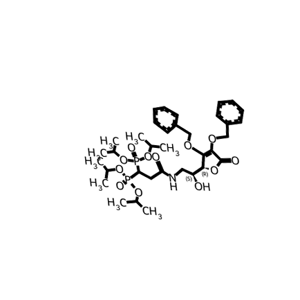 CC(C)OP(=O)(OC(C)C)C(CC(=O)NC[C@H](O)[C@H]1OC(=O)C(OCc2ccccc2)=C1OCc1ccccc1)P(=O)(OC(C)C)OC(C)C